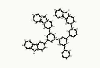 c1ccc(-c2nc(-c3cccc(-c4ccc5sc6ccccc6c5c4)c3)cc(-c3cc(-c4ccc5sc6ccccc6c5c4)cc(-c4ccc5sc6ccccc6c5c4)c3)n2)cc1